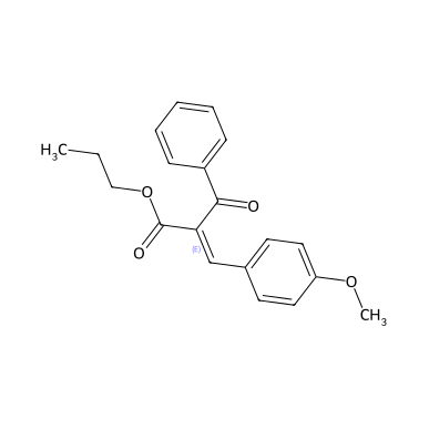 CCCOC(=O)/C(=C/c1ccc(OC)cc1)C(=O)c1ccccc1